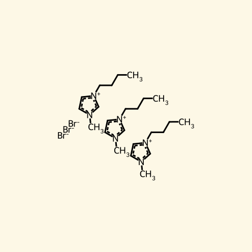 CCCC[n+]1ccn(C)c1.CCCC[n+]1ccn(C)c1.CCCC[n+]1ccn(C)c1.[Br-].[Br-].[Br-]